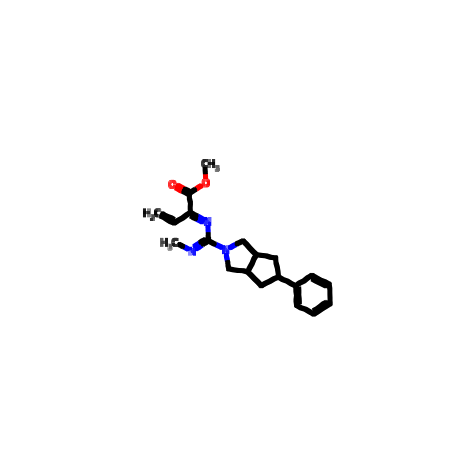 C=C/C(=N\C(=N/C)N1CC2CC(c3ccccc3)CC2C1)C(=O)OC